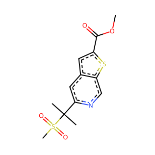 COC(=O)c1cc2cc(C(C)(C)S(C)(=O)=O)ncc2s1